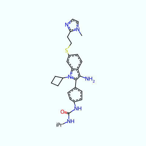 CC(C)NC(=O)Nc1ccc(-c2c(N)c3ccc(SCCc4nccn4C)cc3n2C2CCC2)cc1